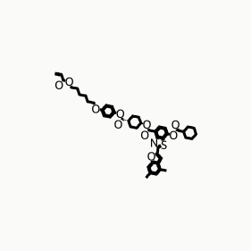 C=CC(=O)OCCCCCCOc1ccc(OC(=O)[C@H]2CC[C@H](OC(=O)c3ccc(OC(=O)C4CCCCC4)c4sc(-c5cc6c(C)cc(C)cc6o5)nc34)CC2)cc1